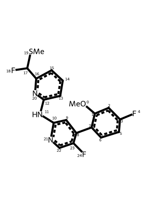 COc1cc(F)ccc1-c1cc(Nc2cccc(C(F)SC)n2)ncc1F